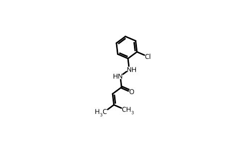 CC(C)=CC(=O)NNc1ccccc1Cl